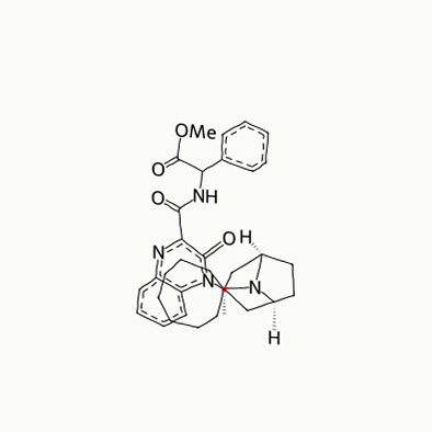 COC(=O)C(NC(=O)c1nc2ccccc2n([C@@]2(C)C[C@H]3CC[C@@H](C2)N3C2CCCCCCC2)c1=O)c1ccccc1